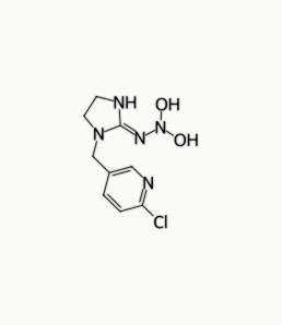 ON(O)/N=C1\NCCN1Cc1ccc(Cl)nc1